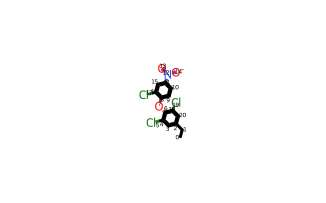 CCc1cc(Cl)c(Oc2ccc([N+](=O)[O-])cc2Cl)c(Cl)c1